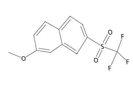 COc1ccc2ccc(S(=O)(=O)C(F)(F)F)cc2c1